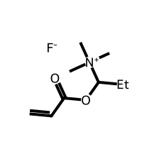 C=CC(=O)OC(CC)[N+](C)(C)C.[F-]